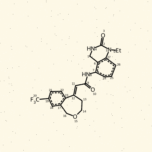 CCN1C(=O)NCc2c(NC(=O)/C=C3\CCOCc4cc(C(F)(F)F)ccc43)cccc21